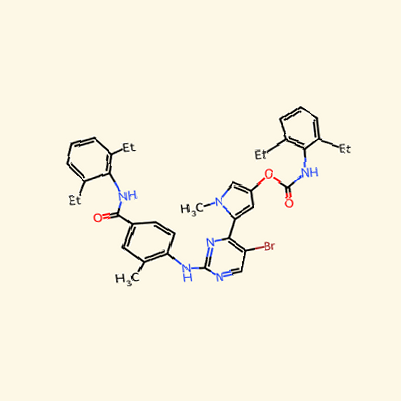 CCc1cccc(CC)c1NC(=O)Oc1cc(-c2nc(Nc3ccc(C(=O)Nc4c(CC)cccc4CC)cc3C)ncc2Br)n(C)c1